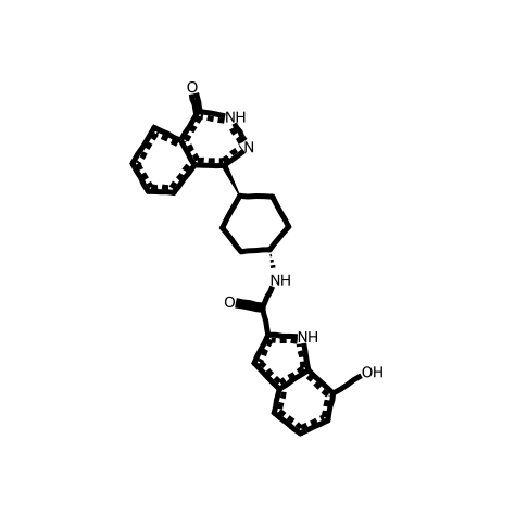 O=C(N[C@H]1CC[C@H](c2n[nH]c(=O)c3ccccc32)CC1)c1cc2cccc(O)c2[nH]1